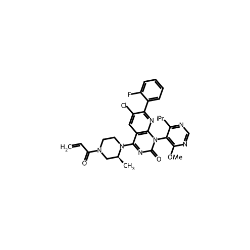 C=CC(=O)N1CCN(c2nc(=O)n(-c3c(OC)ncnc3C(C)C)c3nc(-c4ccccc4F)c(Cl)cc23)[C@@H](C)C1